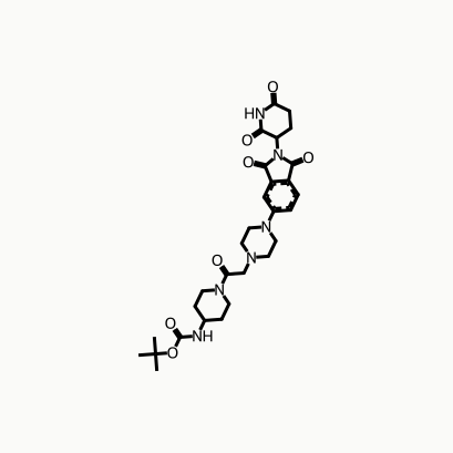 CC(C)(C)OC(=O)NC1CCN(C(=O)CN2CCN(c3ccc4c(c3)C(=O)N(C3CCC(=O)NC3=O)C4=O)CC2)CC1